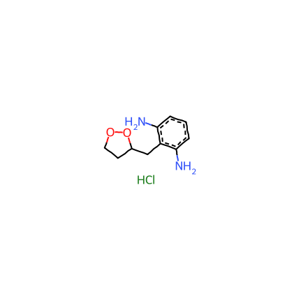 Cl.Nc1cccc(N)c1CC1CCOO1